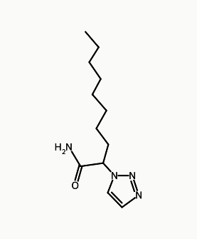 CCCCCCCCC(C(N)=O)n1ccnn1